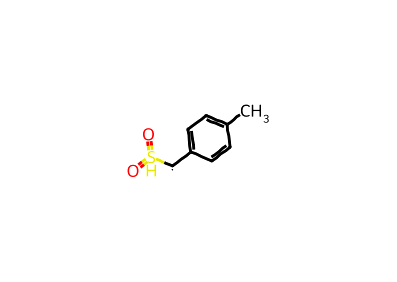 Cc1ccc([CH][SH](=O)=O)cc1